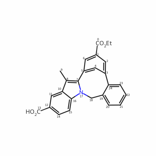 CCOC(=O)c1cc2cc(c1)-c1c(C)c3cc(C(=O)O)ccc3n1Cc1ccccc1-2